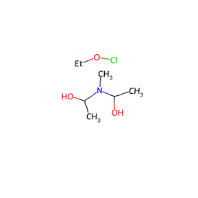 CC(O)N(C)C(C)O.CCOCl